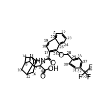 O=C(NC(C(=O)O)C12CC3CC(CC(C3)C1)C2)c1ccc2ccccc2c1OCc1ccc(C(F)(F)F)cc1